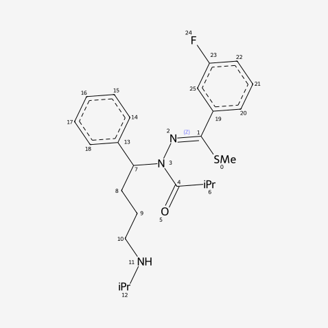 CS/C(=N\N(C(=O)C(C)C)C(CCCNC(C)C)c1ccccc1)c1cccc(F)c1